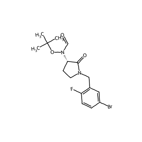 CC(C)(C)ON(C=O)[C@H]1CCN(Cc2cc(Br)ccc2F)C1=O